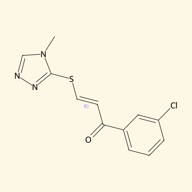 Cn1cnnc1S/C=C/C(=O)c1cccc(Cl)c1